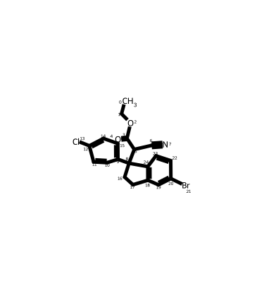 CCOC(=O)C(C#N)C1(c2ccc(Cl)cc2)CCc2cc(Br)ccc21